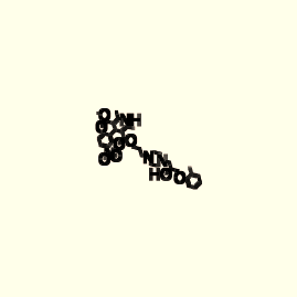 COC(=O)C1=C(C)NC(C)=C(C(=O)OCCCN2CCN(CC(O)COc3ccccc3C)CC2)C1c1cccc([N+](=O)[O-])c1